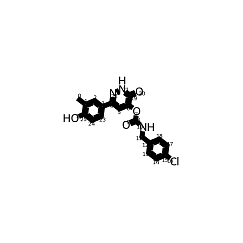 Cc1cc(-c2cc(OC(=O)NCc3ccc(Cl)cc3)c(=O)[nH]n2)ccc1O